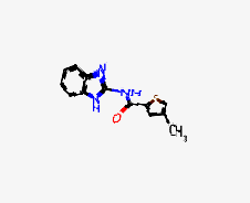 Cc1csc(C(=O)Nc2nc3ccccc3[nH]2)c1